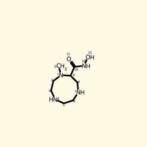 CN1CCNCCNCC1C(=O)NO